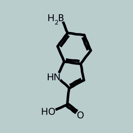 Bc1ccc2cc(C(=O)O)[nH]c2c1